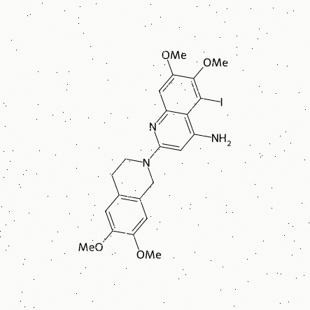 COc1cc2c(cc1OC)CN(c1cc(N)c3c(I)c(OC)c(OC)cc3n1)CC2